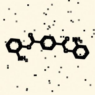 Nc1ccccc1OC(=O)c1ccc(C(=O)Oc2ccccc2N)cc1